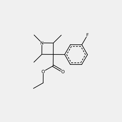 CCOC(=O)C1(c2cccc(F)c2)C(C)N(C)C1C